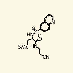 CSCC(NS(=O)(=O)c1ccc2ncccc2c1)C(=O)NCCC#N